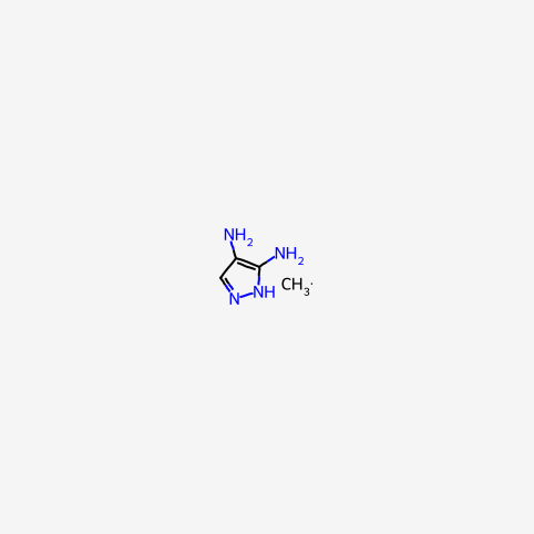 Nc1cn[nH]c1N.[CH3]